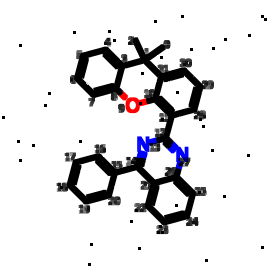 CC1(C)c2ccccc2Oc2c(-c3nc(-c4ccccc4)c4ccccc4n3)cccc21